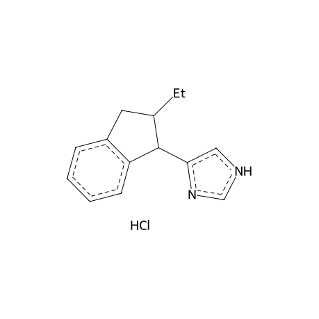 CCC1Cc2ccccc2C1c1c[nH]cn1.Cl